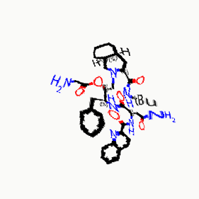 CC(C)(C)NC(=O)[C@@H]1C[C@@H]2CCCC[C@@H]2CN1C[C@@H](OC(=O)CN)[C@H](Cc1ccccc1)NC(=O)[C@H](CC(N)=O)NC(=O)c1ccc2ccccc2n1